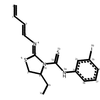 C=CC=CN=C1SCC(CC)N1C(=S)Nc1cccc(I)c1